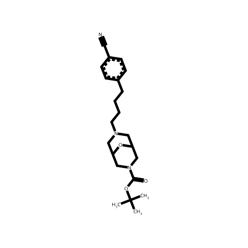 CC(C)(C)OC(=O)N1CC2CN(CCCCc3ccc(C#N)cc3)CC(C1)O2